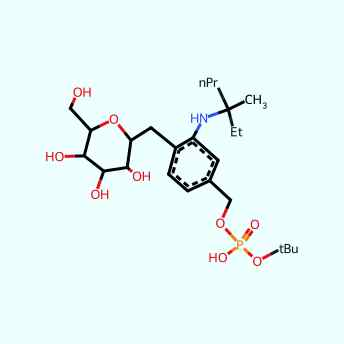 CCCC(C)(CC)Nc1cc(COP(=O)(O)OC(C)(C)C)ccc1CC1OC(CO)C(O)C(O)C1O